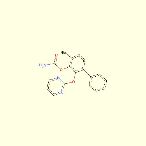 CC(C)(C)c1ccc(-c2ccccc2)c(Oc2ncccn2)c1OC(N)=O